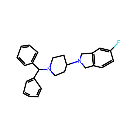 Fc1ccc2c(c1)CN(C1CCN(C(c3ccccc3)c3ccccc3)CC1)C2